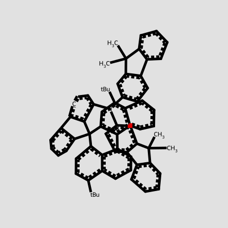 CC(C)(C)c1cc2c(c3ccccc13)-c1cccc3c(C(C)(C)C)ccc(c13)C21c2ccccc2-c2cccc(N(c3ccc4c(c3)C(C)(C)c3ccccc3-4)c3ccc4c(c3)C(C)(C)c3ccccc3-4)c21